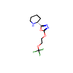 FC(F)(F)OCCOc1nnc([C@H]2CCCCN2)o1